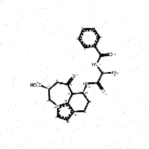 CC(C)(C)C(NC(=O)c1ccccc1)C(=O)N[C@H]1CCc2ccn3c2C1C(=O)C[C@H](C(=O)O)C3